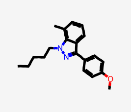 CCCCCn1nc(-c2ccc(OC)cc2)c2cccc(C)c21